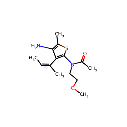 C/C=C(/C)c1c(N(CCOC)C(C)=O)sc(C)c1N